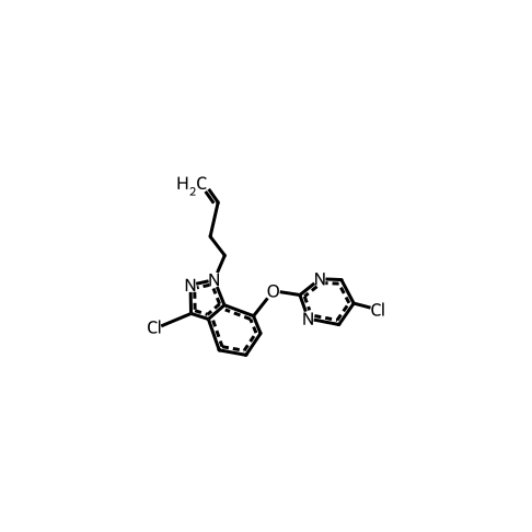 C=CCCn1nc(Cl)c2cccc(Oc3ncc(Cl)cn3)c21